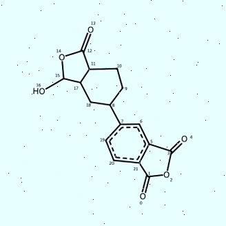 O=C1OC(=O)c2cc(C3CCC4C(=O)OC(O)C4C3)ccc21